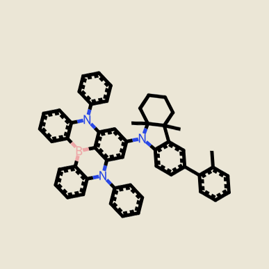 Cc1ccccc1-c1ccc2c(c1)C1(C)CCCCC1(C)N2c1cc2c3c(c1)N(c1ccccc1)c1ccccc1B3c1ccccc1N2c1ccccc1